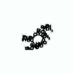 CCC(C)N(C)C(=O)c1cncc(-c2c3c4cc(ccc4n2CC)-c2cc(cc(O[Si](C(C)C)(C(C)C)C(C)C)c2)C[C@H](NC(=O)OC(C)(C)C)C(=O)N2CCC[C@H](N2)C(=O)OCC(C)(C)C3)c1